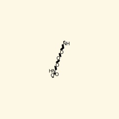 CNCCCOCCOCCOCCNC(=O)OC